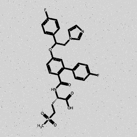 CS(=O)(=O)CC[C@H](NC(=O)c1ccc(OC(Cn2ccnc2)c2ccc(F)cc2)cc1-c1ccc(F)cc1)C(=O)O